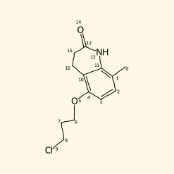 Cc1ccc(OCCCCl)c2c1NC(=O)CC2